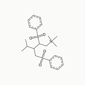 CC(C)C(CS(=O)(=O)c1ccccc1)C(C[Si](C)(C)C)S(=O)(=O)c1ccccc1